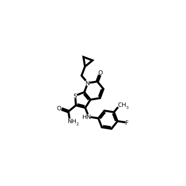 Cc1cc(Nc2c(C(N)=O)sc3c2ccc(=O)n3CC2CC2)ccc1F